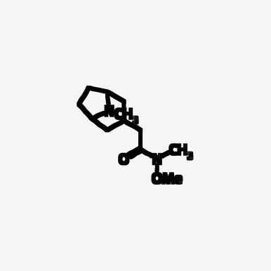 CON(C)C(=O)CC1CC2CCC(C1)N2C